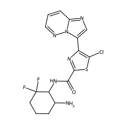 NC1CCCC(F)(F)C1NC(=O)c1nc(-c2cnc3cccnn23)c(Cl)s1